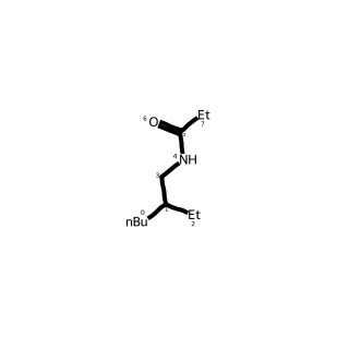 CCCCC(CC)CNC(=O)CC